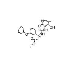 CCOC(=O)C[C@@H](NC(=O)Nc1c(O)c(C)cn(C)c1=O)c1cccc(Oc2ccccc2)c1